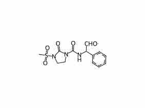 CS(=O)(=O)N1CCN(C(=O)NC([C]=O)c2ccccc2)C1=O